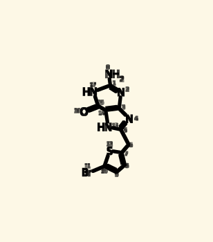 Nc1nc2nc(Cc3ccc(Br)s3)[nH]c2c(=O)[nH]1